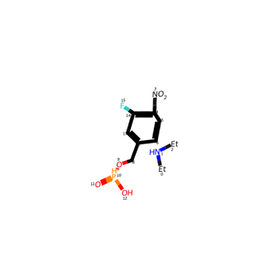 CCNCC.O=[N+]([O-])c1ccc(CO[PH](=O)O)cc1F